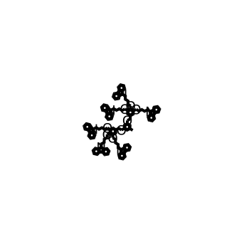 Cc1cc(OCc2cc(OCCCCn3c4ccccc4c4ccccc43)c(OCCCCn3c4ccccc4c4ccccc43)c(OCCCCn3c4ccccc4c4ccccc43)c2)cc(OCc2cc(OCCCCn3c4ccccc4c4ccccc43)c(OCCCCn3c4ccccc4c4ccccc43)c(OCCCCn3c4ccccc4c4ccccc43)c2)c1